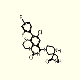 O=C1NCC12CN(c1nc(=O)n3c4c(c(-c5ccc(F)cc5F)c(Cl)cc14)SCC3)CCN2